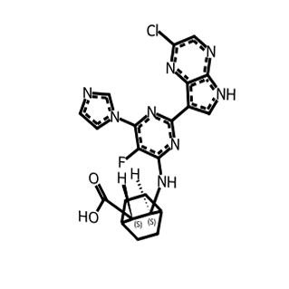 O=C(O)[C@H]1C2CCC(CC2)[C@@H]1Nc1nc(-c2c[nH]c3ncc(Cl)nc23)nc(-n2ccnc2)c1F